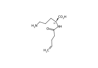 C=CCCC(=O)N[C@@H](CCCN)C(=O)O